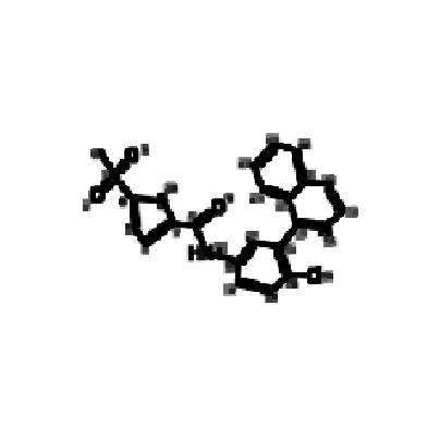 CS(=O)(=O)c1ccc(C(=O)Nc2ccc(Cl)c(-c3nccc4ccccc34)c2)s1